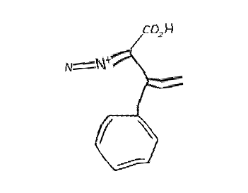 C=C(C(=[N+]=[N-])C(=O)O)c1ccccc1